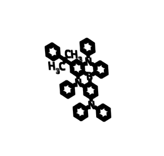 CC(C)(c1ccccc1)c1cc2c3c(c1)N(c1ccccc1)c1cc(N(c4ccccc4)c4ccccc4)ccc1B3c1ccccc1N2c1ccccc1